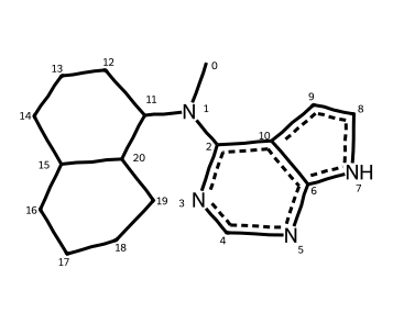 CN(c1ncnc2[nH]ccc12)C1CCCC2CCCCC21